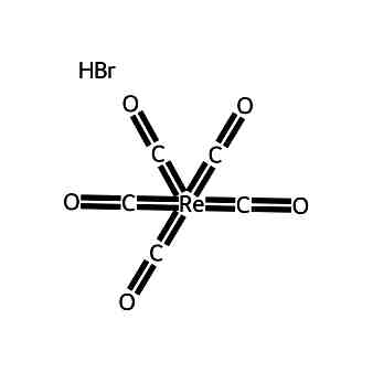 Br.O=[C]=[Re](=[C]=O)(=[C]=O)(=[C]=O)=[C]=O